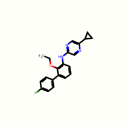 Fc1ccc(-c2cccc(Nc3cnc(C4CC4)cn3)c2OCC(F)(F)F)cc1